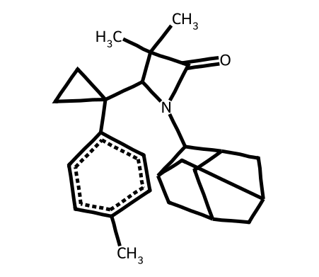 Cc1ccc(C2(C3N(C4C5CC6CC(C5)CC4C6)C(=O)C3(C)C)CC2)cc1